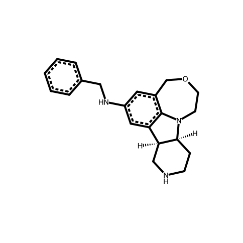 c1ccc(CNc2cc3c4c(c2)[C@@H]2CNCC[C@@H]2N4CCOC3)cc1